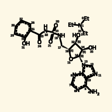 CCN(CC)CC.Nc1ncnc2c1ncn2[C@@H]1O[C@H](CNS(=O)(=O)NC(=O)c2ccccc2O)[C@@H](O)[C@H]1O